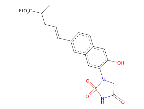 CCOC(=O)C(C)C/C=C/c1ccc2cc(O)c(N3CC(=O)NS3(=O)=O)cc2c1